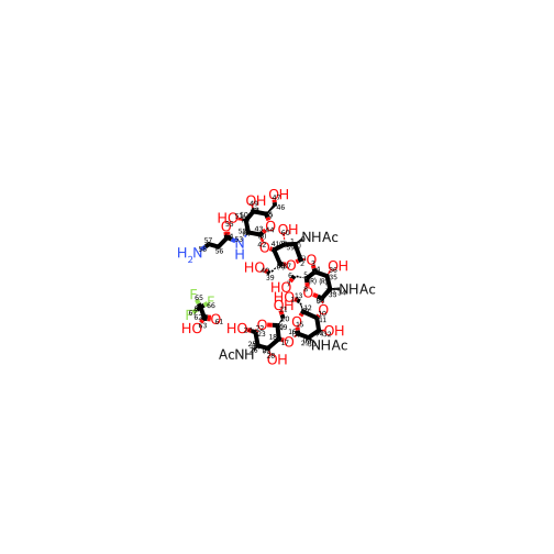 CC(=O)N[C@H]1[C@H](OC2[C@@H](CO)O[C@@H](OC3[C@@H](CO)O[C@@H](OC4[C@@H](CO)OC(O)[C@H](NC(C)=O)[C@H]4O)[C@H](NC(C)=O)[C@H]3O)[C@H](NC(C)=O)[C@H]2O)O[C@H](CO)C(O[C@@H]2O[C@H](CO)[C@@H](O)[C@H](O)[C@H]2NC(=O)CCN)[C@@H]1O.O=C(O)C(F)(F)F